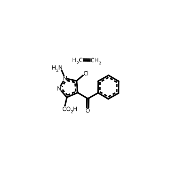 C=C.Nn1nc(C(=O)O)c(C(=O)c2ccccc2)c1Cl